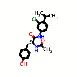 C=C(C)c1ccc(NC(=O)[C@@H](Cc2ccc(O)cc2)NC(C)=O)cc1Cl